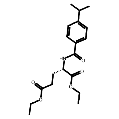 CCOC(=O)CC[C@H](NC(=O)c1ccc(C(C)C)cc1)C(=O)OCC